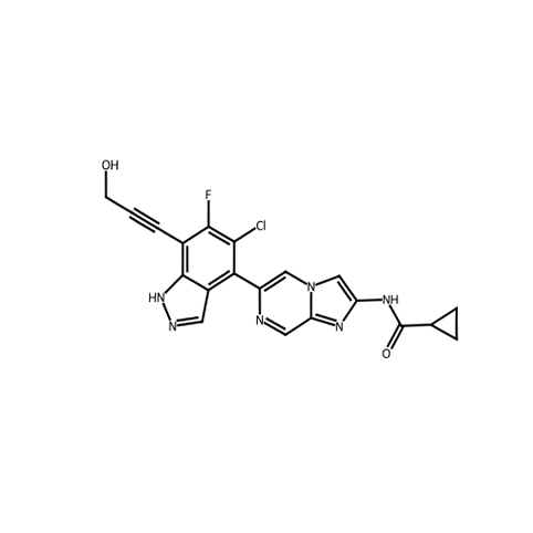 O=C(Nc1cn2cc(-c3c(Cl)c(F)c(C#CCO)c4[nH]ncc34)ncc2n1)C1CC1